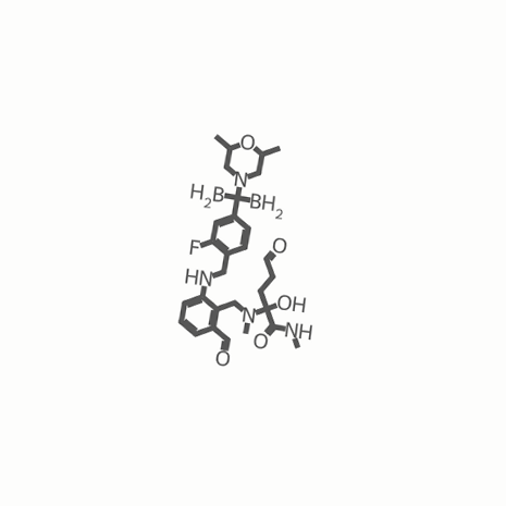 BC(B)(c1ccc(CNc2cccc(C=O)c2CN(C)C(O)(CCC=O)C(=O)NC)c(F)c1)N1CC(C)OC(C)C1